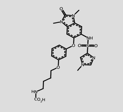 Cn1cnc(S(=O)(=O)Nc2cc3c(cc2Oc2cccc(OCCCCNC(=O)O)c2)n(C)c(=O)n3C)c1